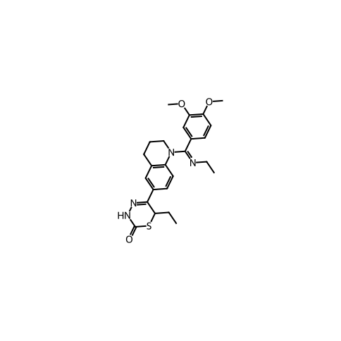 CCN=C(c1ccc(OC)c(OC)c1)N1CCCc2cc(C3=NNC(=O)SC3CC)ccc21